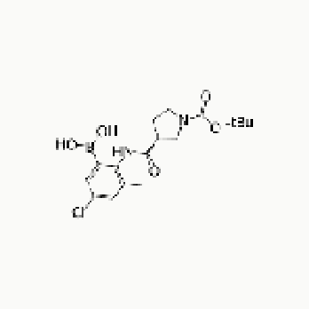 Cc1cc(Cl)cc(B(O)O)c1NC(=O)[C@H]1CCN(C(=O)OC(C)(C)C)C1